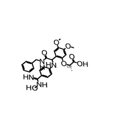 COc1cc(O[C@@H](C)C(=O)O)c(C(Nc2ccc(C(=N)NO)cc2)C(=O)NCc2ccccc2)cc1OC